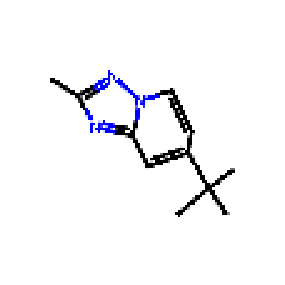 Cc1nc2cc(C(C)(C)C)ccn2n1